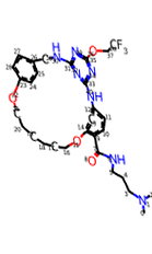 CN(C)CCCNC(=O)c1ccc2cc1OCCCCCCOc1ccc(cc1)CNc1nc(nc(OCC(F)(F)F)n1)N2